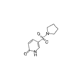 O=c1ccc(S(=O)(=O)N2CCCC2)c[nH]1